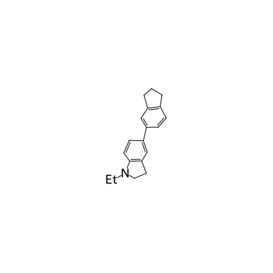 CCN1CCc2cc(-c3ccc4c(c3)CCC4)ccc21